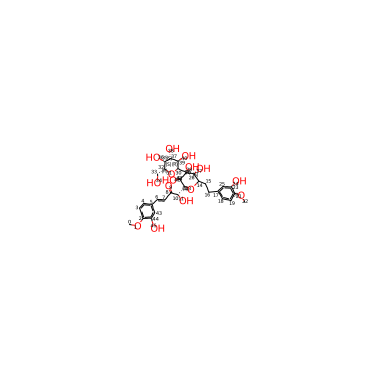 COc1ccc(C=CC(=O)C(O)[C@H]2OC(CCc3ccc(OC)c(O)c3)[C@H](O)[C@](O)(C3O[C@H](CO)[C@@H](O)[C@H](O)[C@H]3O)[C@@H]2O)cc1O